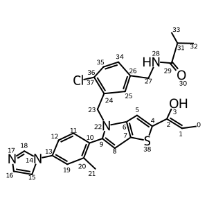 CC=C(O)c1cc2c(cc(-c3ccc(-n4ccnc4)cc3C)n2Cc2cc(CNC(=O)C(C)C)ccc2Cl)s1